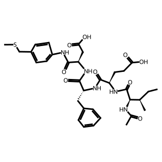 CC[C@@H](C)[C@@H](NC(C)=O)C(=O)N[C@H](CCC(=O)O)C(=O)N[C@H](Cc1ccccc1)C(=O)N[C@H](CC(=O)O)C(=O)Nc1ccc(CSC)cc1